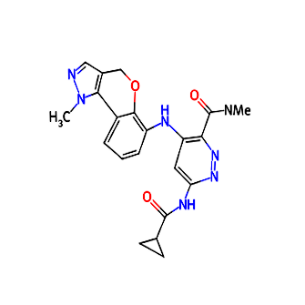 CNC(=O)c1nnc(NC(=O)C2CC2)cc1Nc1cccc2c1OCc1cnn(C)c1-2